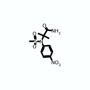 CC(C)(C(N)=O)N(c1ccc([N+](=O)[O-])cc1)S(C)(=O)=O